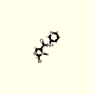 Cn1c(C(=O)Nc2cccnc2)cnc1Br